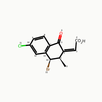 C[C@@H]1C(=CC(=O)O)C(=O)c2ccc(Cl)cc2[C@@H]1Br